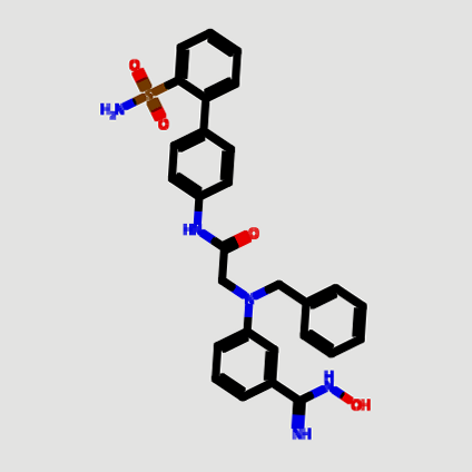 N=C(NO)c1cccc(N(CC(=O)Nc2ccc(-c3ccccc3S(N)(=O)=O)cc2)Cc2ccccc2)c1